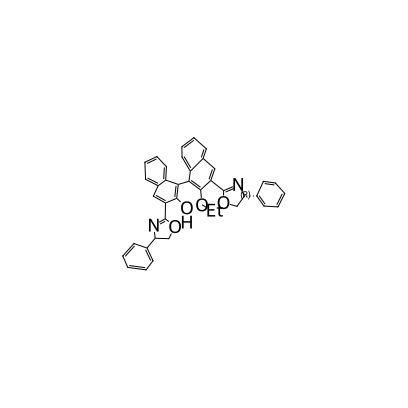 CCOc1c(C2=N[C@H](c3ccccc3)CO2)cc2ccccc2c1-c1c(O)c(C2=NC(c3ccccc3)CO2)cc2ccccc12